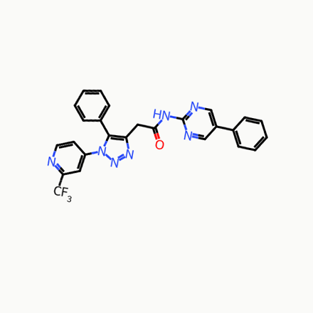 O=C(Cc1nnn(-c2ccnc(C(F)(F)F)c2)c1-c1ccccc1)Nc1ncc(-c2ccccc2)cn1